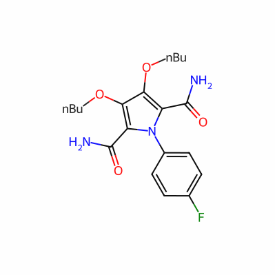 CCCCOc1c(OCCCC)c(C(N)=O)n(-c2ccc(F)cc2)c1C(N)=O